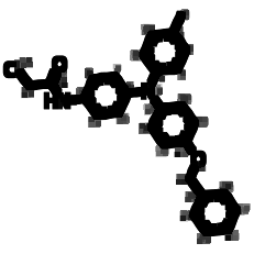 Cc1ccc(N(c2ccc(NC(=O)CCl)cc2)c2ccc(OCc3ccccc3)cc2)cc1